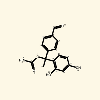 CC(OC(N)=O)(c1ccc(C=O)cc1)c1ccc(O)cc1O